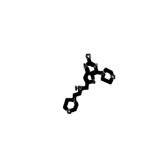 Clc1nc(N2CCOCC2)c2sc(CNCCN3CCOCC3)cc2n1